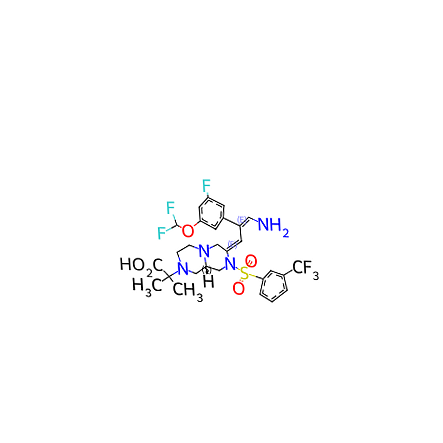 CC(C)(C(=O)O)N1CCN2C/C(=C\C(=C/N)c3cc(F)cc(OC(F)F)c3)N(S(=O)(=O)c3cccc(C(F)(F)F)c3)C[C@@H]2C1